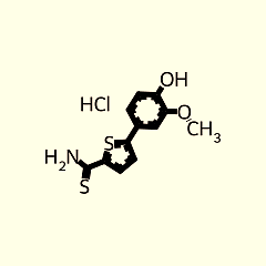 COc1cc(-c2ccc(C(N)=S)s2)ccc1O.Cl